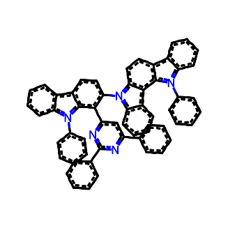 c1ccc(-c2cc(-c3c(-n4c5ccccc5c5c4ccc4c6ccccc6n(-c6ccccc6)c45)ccc4c5ccccc5n(-c5ccccc5)c34)nc(-c3ccccc3)n2)cc1